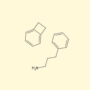 NCCCc1ccccc1.c1ccc2c(c1)CC2